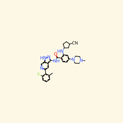 Cc1cccc(F)c1-c1cc2c(NC(=O)c3ccc(N4CCN(C)CC4)cc3NC3CCC(C#N)C3)n[nH]c2cn1